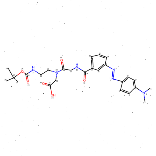 CN(C)c1ccc(N=Nc2cccc(C(=O)NCC(=O)N(CCNC(=O)OC(C)(C)C)CC(=O)O)c2)cc1